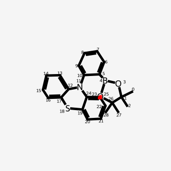 CC1(C)OB(c2ccccc2N2c3ccccc3Sc3ccccc32)OC1(C)C